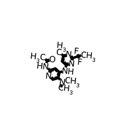 CC(=O)Nc1cc(Nc2cc(C)nc(C(C)(F)F)n2)c(N(C)C)cn1